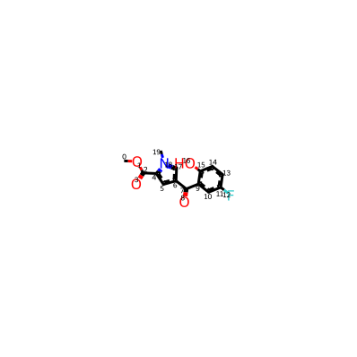 COC(=O)c1cc(C(=O)c2cc(F)ccc2O)cn1C